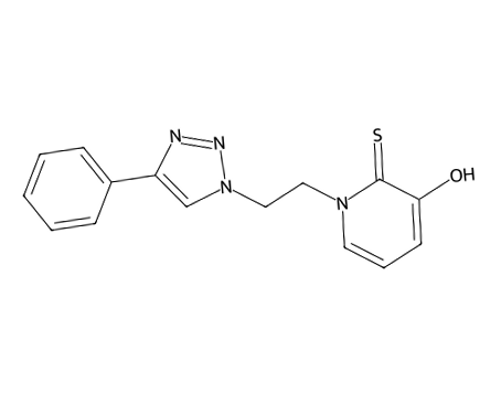 Oc1cccn(CCn2cc(-c3ccccc3)nn2)c1=S